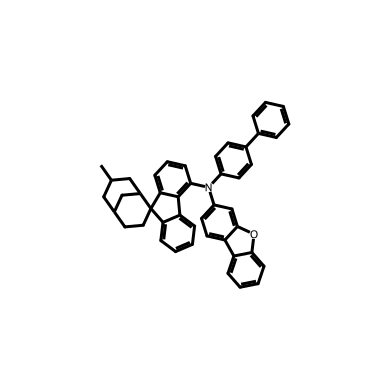 CC1CC2CCC3(c4ccccc4-c4c(N(c5ccc(-c6ccccc6)cc5)c5ccc6c(c5)oc5ccccc56)cccc43)C(C1)C2